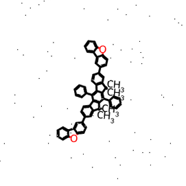 CC1(C)c2cc(-c3ccc4oc5ccccc5c4c3)ccc2-c2c(-c3ccccc3)c3c(c(-c4ccccc4)c21)C(C)(C)c1cc(-c2ccc4oc5ccccc5c4c2)ccc1-3